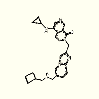 O=c1c2cncc(NC3CC3)c2ccn1Cc1cn2cc(CNCC3CCC3)ccc2n1